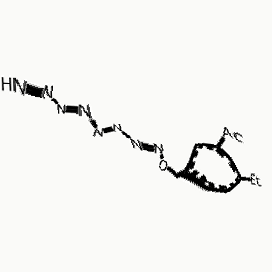 CCc1ccc(ON=NN=NN=NN=N)cc1C(C)=O